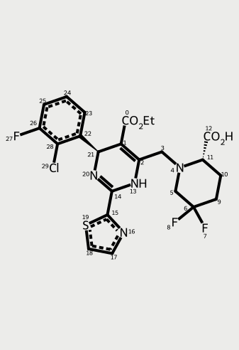 CCOC(=O)C1=C(CN2CC(F)(F)CC[C@H]2C(=O)O)NC(c2nccs2)=N[C@H]1c1cccc(F)c1Cl